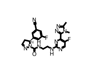 Cc1nnc(-c2nc(NCCNC(=O)N3N=CC[C@H]3c3cc(F)cc(C#N)c3)ncc2F)n1C